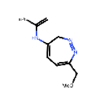 C=C(CCC)NC1=CC=C(COC)N=NC1